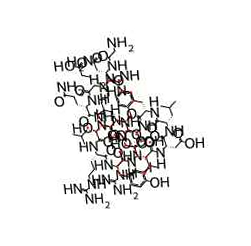 CC(C)C[C@H](NC(=O)[C@H](CC(=O)O)NC(=O)[C@@H](NC(=O)[C@H](CCCNC(=N)N)NC(=O)[C@H](Cc1ccccc1)NC(=O)[C@H](CO)NC(=O)[C@H](CCC(N)=O)NC(=O)[C@H](CCC(=O)O)NC(=O)[C@H](CC(N)=O)NC(=O)CN)C(C)C)C(=O)N[C@@H](CCCNC(=N)N)C(=O)N[C@H](C(=O)N[C@@H](CC(C)C)C(=O)N[C@@H](CC(C)C)C(=O)N[C@@H](CCCNC(=N)N)C(=O)N[C@@H](Cc1ccc(O)c(I)c1)C(=O)N[C@@H](C)C(=O)O)[C@@H](C)O